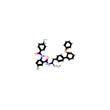 O=C(Nc1ccc(Br)cc1C(=O)N[C@@H](Cc1ccc(-c2ccccc2Oc2ccccc2)cc1)C(=O)O)c1ccc(F)cc1